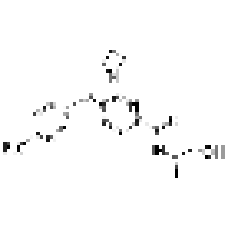 C[C@H](CO)NC(=O)c1ccc(Oc2ccc(C(F)(F)F)cc2)c(N2CCC2)n1